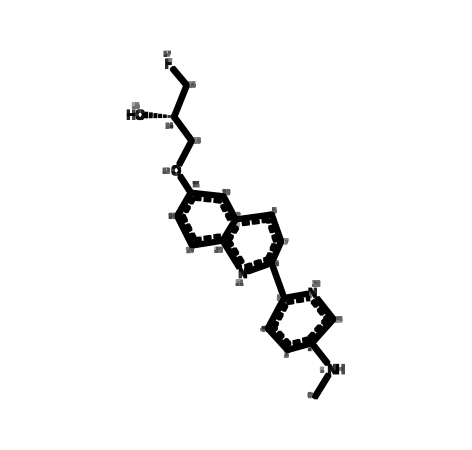 CNc1ccc(-c2ccc3cc(OC[C@H](O)CF)ccc3n2)nc1